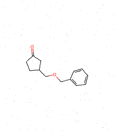 O=C1CCC(COCc2ccccc2)C1